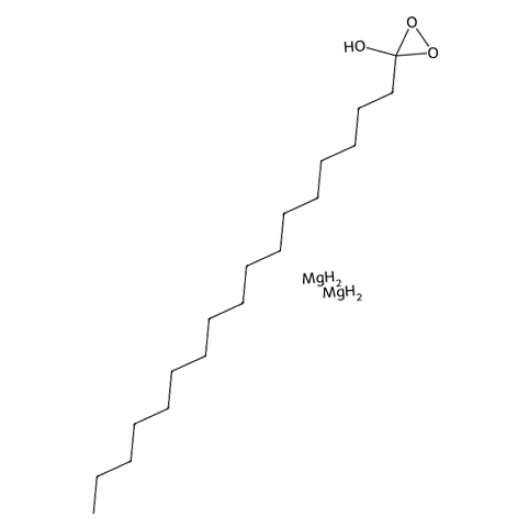 CCCCCCCCCCCCCCCCCC1(O)OO1.[MgH2].[MgH2]